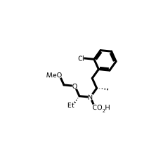 CC[C@H](OCOC)N(C(=O)O)[C@@H](C)Cc1ccccc1Cl